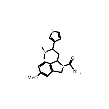 COc1ccc2c(c1)CN(C(N)=O)C2CC(c1ccsc1)N(C)C